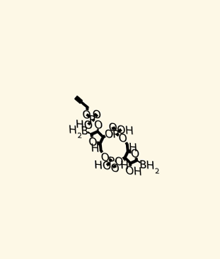 B[C@@H]1O[C@@H]2COP(=O)(O)OC3[C@@H](COP(=O)(O)O[C@@H]2C1O)O[C@@H](B)[C@H]3OP(=O)(O)OCC#C